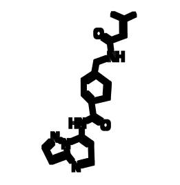 CC(C)=CC(=O)NCc1ccc(C(=O)Nc2ccnc3ccnn23)cc1